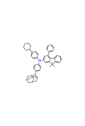 CC1(C)c2ccccc2-c2c(-c3ccccc3)cc(N(c3ccc(C4CCCCC4)cc3)c3ccc(C4C5CC6CC(C5)CC4C6)cc3)cc21